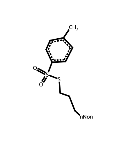 CCCCCCCCCCCCSS(=O)(=O)c1ccc(C)cc1